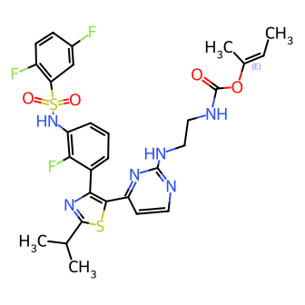 C/C=C(\C)OC(=O)NCCNc1nccc(-c2sc(C(C)C)nc2-c2cccc(NS(=O)(=O)c3cc(F)ccc3F)c2F)n1